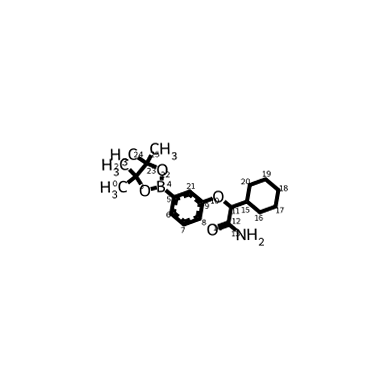 CC1(C)OB(c2cccc(OC(C(N)=O)C3CCCCC3)c2)OC1(C)C